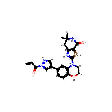 C=CC(=O)n1cc(-c2ccc3c(c2)N(c2nc4c(s2)C(=O)NC(C)(C)C4)CCO3)cn1